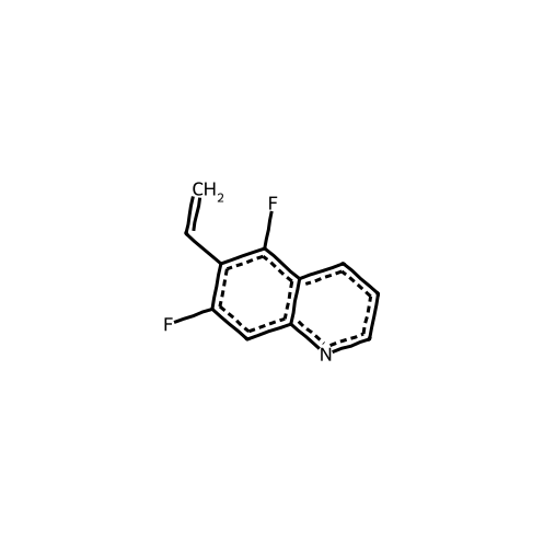 C=Cc1c(F)cc2ncccc2c1F